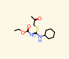 CCOC(=O)/N=C(/NC1CCCCC1)SCC(C)=O